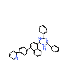 c1ccc(C2=NC(c3ccc(-c4ccc(-c5ccccn5)cc4)c4ccccc34)NC(c3ccccc3)=N2)cc1